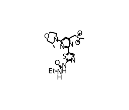 CCNC(=O)Nc1ncc(-c2nc(CS(C)(=O)=O)cc(N3CCOC[C@@H]3C)n2)s1